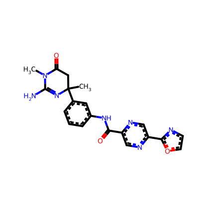 CN1C(=O)CC(C)(c2cccc(NC(=O)c3cnc(-c4ncco4)cn3)c2)N=C1N